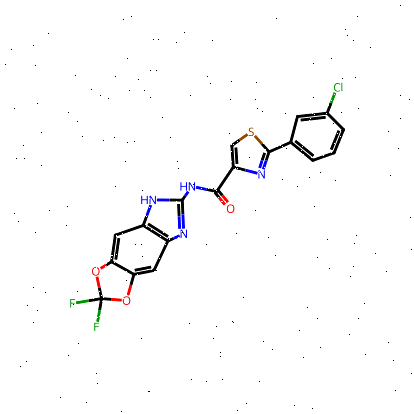 O=C(Nc1nc2cc3c(cc2[nH]1)OC(F)(F)O3)c1csc(-c2cccc(Cl)c2)n1